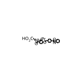 CC(C)C(Oc1ccc(C(=O)NCCC(=O)O)cc1)c1ccc(-c2nc3ccccc3o2)cc1